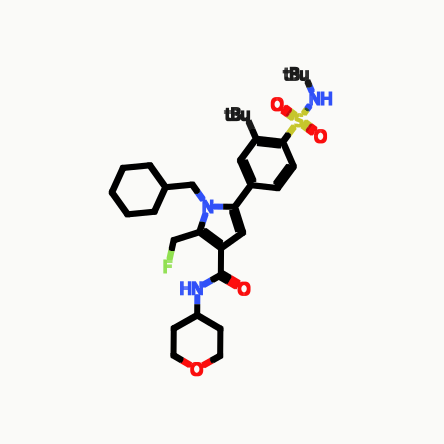 CC(C)(C)NS(=O)(=O)c1ccc(-c2cc(C(=O)NC3CCOCC3)c(CF)n2CC2CCCCC2)cc1C(C)(C)C